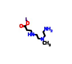 CN(CCN)CCNCCC(=O)OI